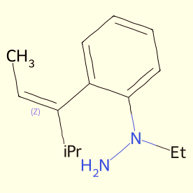 C/C=C(\c1ccccc1N(N)CC)C(C)C